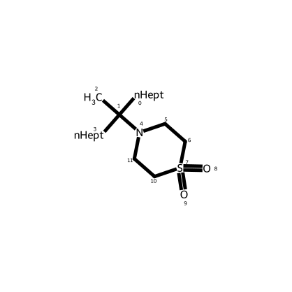 CCCCCCCC(C)(CCCCCCC)N1CCS(=O)(=O)CC1